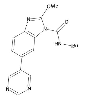 CCC(C)NC(=O)n1c(OC)nc2ccc(-c3cncnc3)cc21